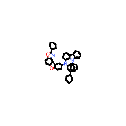 c1ccc(-c2cccc(N(c3ccc4oc5ccc6oc(-c7ccccc7)nc6c5c4c3)c3cccc4c5ccccc5n(-c5ccccc5)c34)c2)cc1